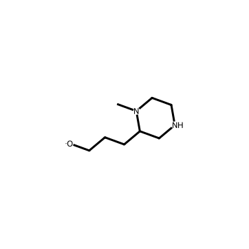 CN1CCNCC1CCC[O]